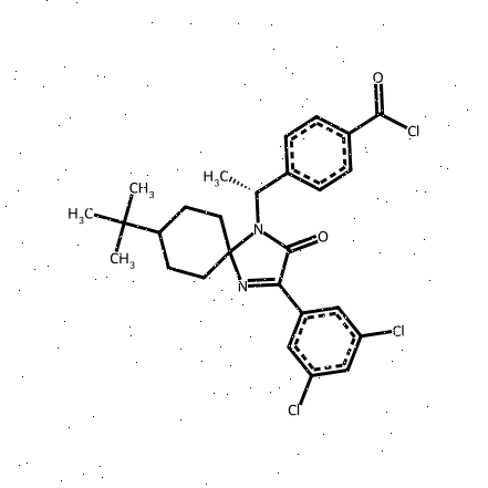 C[C@H](c1ccc(C(=O)Cl)cc1)N1C(=O)C(c2cc(Cl)cc(Cl)c2)=NC12CCC(C(C)(C)C)CC2